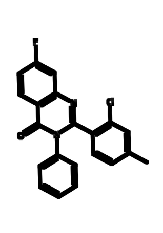 Cc1ccc(-c2nc3cc(F)ccc3c(=O)n2-c2ccccc2)c(Cl)c1